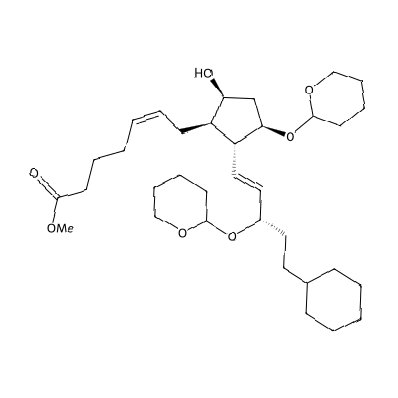 COC(=O)CCC/C=C\C[C@@H]1[C@@H](/C=C/[C@H](CCC2CCCCC2)OC2CCCCO2)[C@H](OC2CCCCO2)C[C@@H]1O